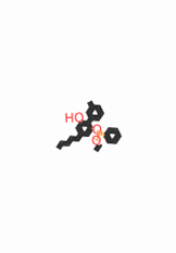 CCCCCc1cc(O)c(-c2cccc(C)c2)c(OP(OCC)c2ccccc2)c1